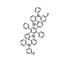 Fc1cccc(N(c2ccccc2)c2cccc3c2c2cccc4c5c(-c6ccccc6)c6c(c(-c7ccccc7)c5n3c24)c2cccc3c4c(N(c5ccccc5)c5cccc(F)c5)cccc4n6c32)c1